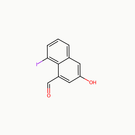 O=Cc1cc(O)cc2cccc(I)c12